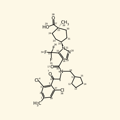 Cc1cc(Cl)c(C(=O)CN(CC2CCCC2)C(=O)c2cnn([C@H]3CC[C@@](C)(C(=O)O)CC3)c2C(F)(F)F)c(Cl)c1